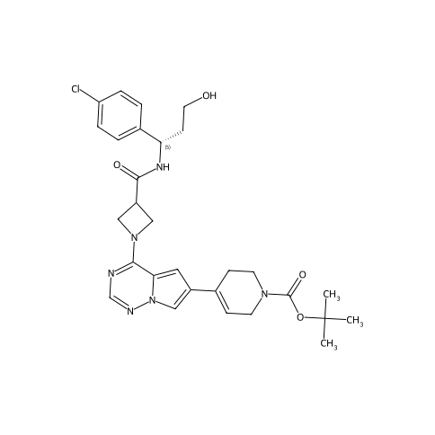 CC(C)(C)OC(=O)N1CC=C(c2cc3c(N4CC(C(=O)N[C@@H](CCO)c5ccc(Cl)cc5)C4)ncnn3c2)CC1